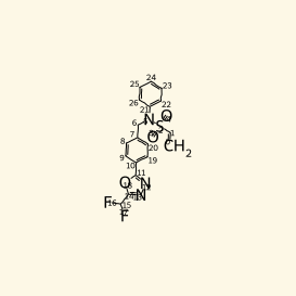 C=CS(=O)(=O)N(Cc1ccc(-c2nnc(C(F)F)o2)cc1)c1ccccc1